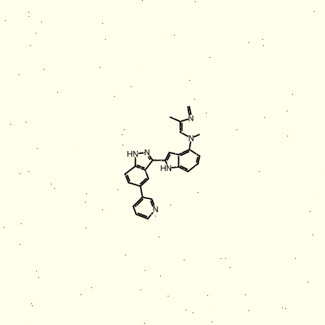 C=N/C(C)=C\N(C)c1cccc2[nH]c(-c3n[nH]c4ccc(-c5cccnc5)cc34)cc12